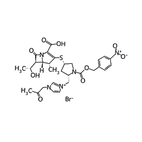 CC(=O)Cn1cc[n+](C[C@@H]2C[C@H](SC3=C(C(=O)O)N4C(=O)[C@H]([C@@H](C)O)[C@H]4[C@H]3C)CN2C(=O)OCc2ccc([N+](=O)[O-])cc2)c1.[Br-]